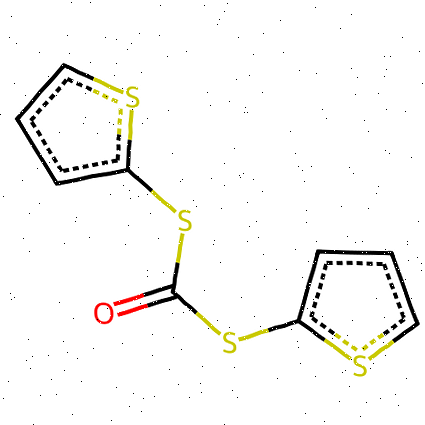 O=C(Sc1cccs1)Sc1cccs1